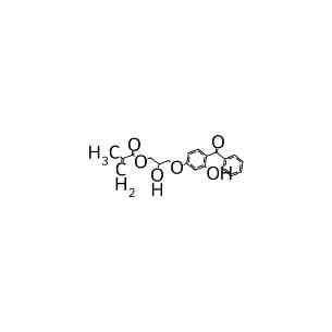 C=C(C)C(=O)OCC(O)COc1ccc(C(=O)c2ccccc2)c(O)c1